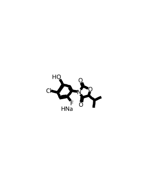 CC(C)C1OC(=O)N(c2cc(O)c(Cl)cc2F)C1=O.[NaH]